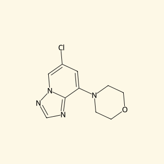 Clc1cc(N2CCOCC2)c2ncnn2c1